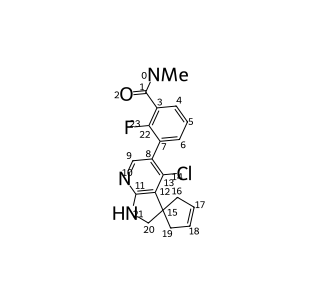 CNC(=O)c1cccc(-c2cnc3c(c2Cl)C2(CC=CC2)CN3)c1F